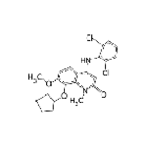 COc1ccc2c(Nc3c(Cl)cccc3Cl)cc(=O)n(C)c2c1OC1CCCC1